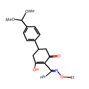 CCCC(=NOCC)C1=C(O)CC(c2ccc(C(OC)OC)cc2)CC1=O